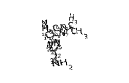 Cc1nc(C(C)C)cn1Cc1cc(C#N)ccc1-c1ncc(CCN)cn1